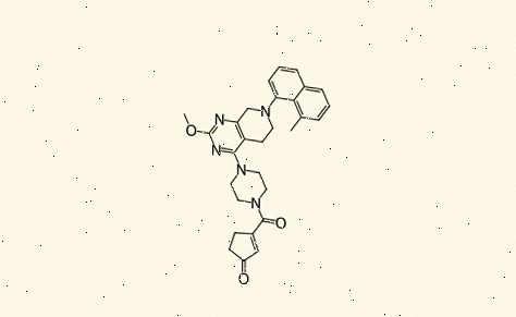 COc1nc2c(c(N3CCN(C(=O)C4=CC(=O)CC4)CC3)n1)CCN(c1cccc3cccc(C)c13)C2